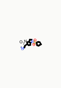 CN(C)/C=C/c1ccc2c(ccn2S(=O)(=O)c2ccccc2)c1[N+](=O)[O-]